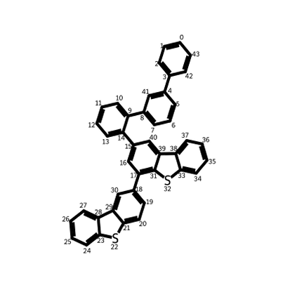 c1ccc(-c2cccc(-c3ccccc3-c3cc(-c4ccc5sc6ccccc6c5c4)c4sc5ccccc5c4c3)c2)cc1